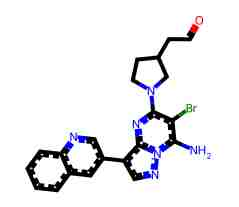 Nc1c(Br)c(N2CCC(CC=O)C2)nc2c(-c3cnc4ccccc4c3)cnn12